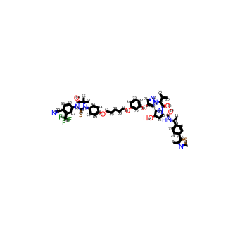 Cc1ncsc1-c1ccc(C(C)NC(=O)[C@@H]2C[C@@H](O)CN2C(=O)C(C(C)C)n2cc(Oc3cccc(OCCCCCOc4ccc(N5C(=S)N(c6ccc(C#N)c(C(F)(F)F)c6)C(=O)C5(C)C)cc4)c3)cn2)cc1